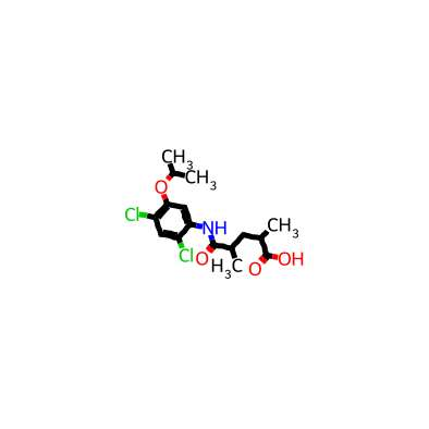 CC(C)Oc1cc(NC(=O)C(C)CC(C)C(=O)O)c(Cl)cc1Cl